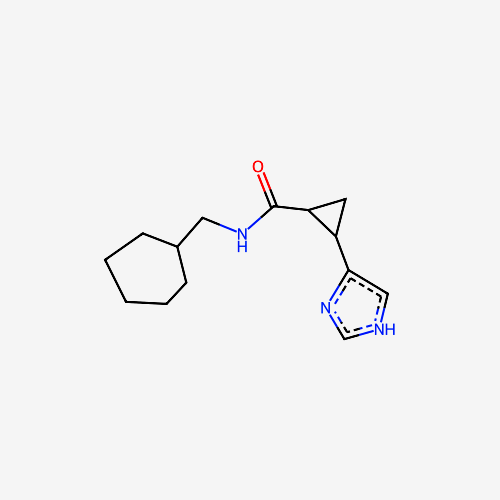 O=C(NCC1CCCCC1)C1CC1c1c[nH]cn1